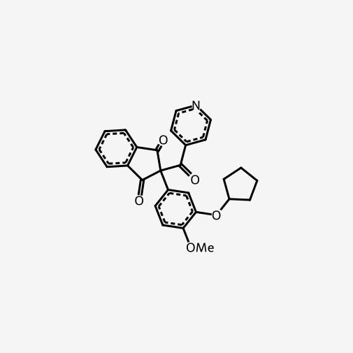 COc1ccc(C2(C(=O)c3ccncc3)C(=O)c3ccccc3C2=O)cc1OC1CCCC1